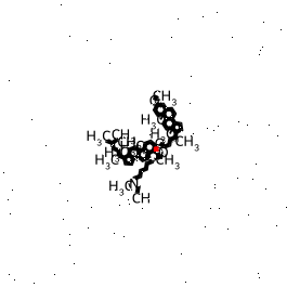 C#CCN(C)CCCCCCO[Si](C)(C)OC(CC[C@H](C)C1CCC2C3CCC4C[C@@H](OC)CC[C@@]4(C)C3CC[C@]21C)OC1CCC2(C)C(=CCC3C2CCC2(C)C(C(C)CCC(CC)C(C)C)CCC32)C1